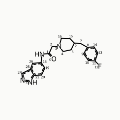 O=C(CN1CCC(Cc2ccc(F)cc2)CC1)Nc1ccc2[nH]ncc2c1